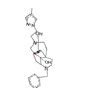 Cc1cnn(CCN2CCC34CCN(Cc5ccccc5)C(Cc5ccc(O)cc53)C4(O)CC2)c1